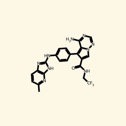 Cc1ccc2nc(Nc3ccc(-c4c(C(=O)NCC(F)(F)F)cn5ncnc(N)c45)cc3)[nH]c2n1